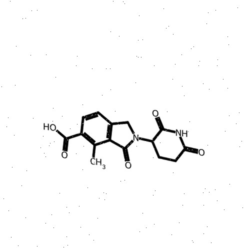 Cc1c(C(=O)O)ccc2c1C(=O)N(C1CCC(=O)NC1=O)C2